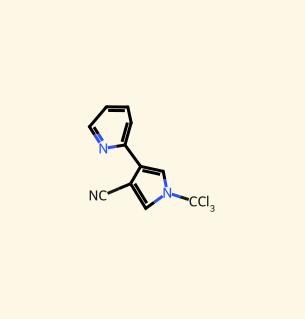 N#Cc1cn(C(Cl)(Cl)Cl)cc1-c1ccccn1